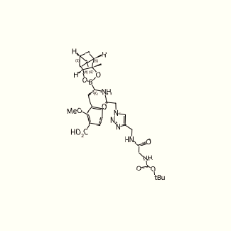 COc1c(C[C@H](NC(=O)Cn2cc(CNC(=O)CNC(=O)OC(C)(C)C)nn2)B2O[C@@H]3C[C@@H]4C[C@@H](C4(C)C)[C@]3(C)O2)cccc1C(=O)O